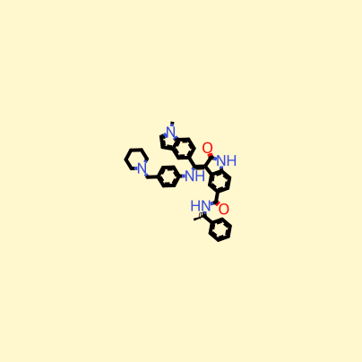 C[C@@H](NC(=O)c1ccc2c(c1)C(=C(Nc1ccc(CN3CCCCC3)cc1)c1ccc3c(ccn3C)c1)C(=O)N2)c1ccccc1